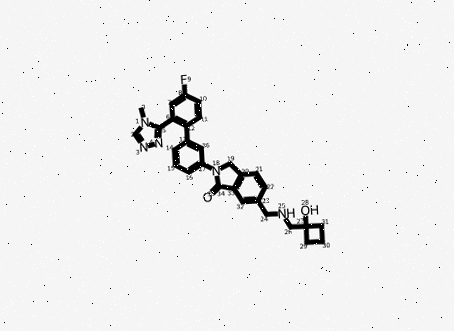 Cn1cnnc1-c1cc(F)ccc1-c1cccc(N2Cc3ccc(CNCC4(O)CCC4)cc3C2=O)c1